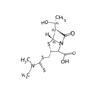 C[C@@H](O)[C@H]1C(=O)N2C(C(=O)O)C(CSC(=S)N(C)C)S[C@H]12